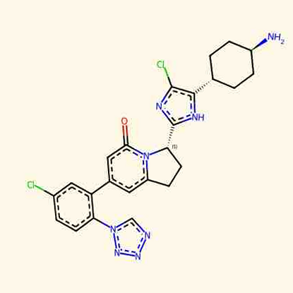 N[C@H]1CC[C@H](c2[nH]c([C@@H]3CCc4cc(-c5cc(Cl)ccc5-n5cnnn5)cc(=O)n43)nc2Cl)CC1